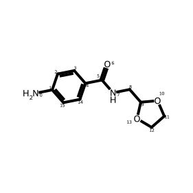 Nc1ccc(C(=O)NCC2OCCO2)cc1